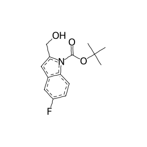 CC(C)(C)OC(=O)n1c(CO)cc2cc(F)ccc21